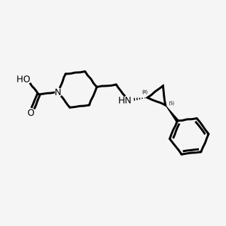 O=C(O)N1CCC(CN[C@@H]2C[C@H]2c2ccccc2)CC1